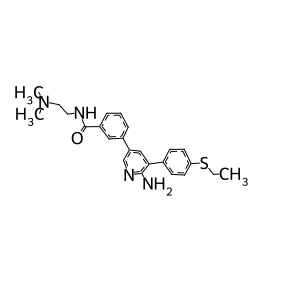 CCSc1ccc(-c2cc(-c3cccc(C(=O)NCCN(C)C)c3)cnc2N)cc1